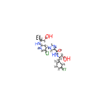 CC[C@H](CO)Nc1cc(-n2cnc(C(=O)NC(CO)c3cccc(Cl)c3)c2)c(Cl)cn1